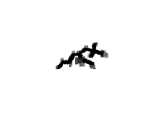 CCC=C[C@@H](CC(C)(C)F)NC